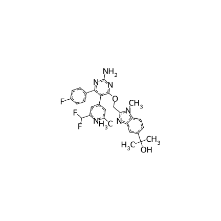 Cc1cc(-c2c(OCc3nc4cc(C(C)(C)O)ccc4n3C)nc(N)nc2-c2ccc(F)cc2)cc(C(F)F)n1